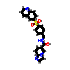 O=C(NCc1ccc(S(=O)(=O)c2ccc3ncccc3c2)cc1)c1ccc2nccn2c1